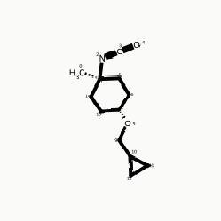 C[C@]1(N=C=O)CC[C@H](OCC2CC2)CC1